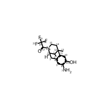 CC1[C@H]2Cc3cc(N)c(O)cc3C1(C)CCN2C(=O)C(F)(F)F